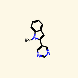 CC(C)n1c(-c2cncnc2)cc2ccccc21